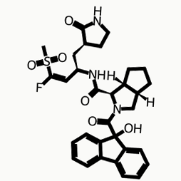 CS(=O)(=O)/C(F)=C\[C@@H](C[C@@H]1CCNC1=O)NC(=O)[C@H]1[C@@H]2CCC[C@@H]2CN1C(=O)C1(O)c2ccccc2-c2ccccc21